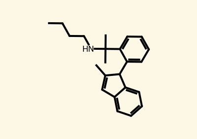 CCCCNC(C)(C)c1ccccc1C1C(C)=Cc2ccccc21